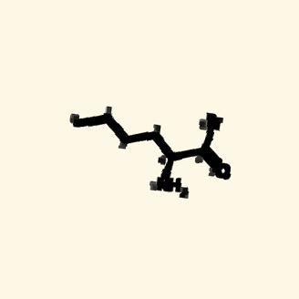 CCCC[C@H](N)C(=O)Br